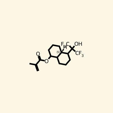 C=C(C)C(=O)OC1CCC[C@H]2C1CCCC2C(O)(C(F)(F)F)C(F)(F)F